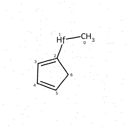 [CH3][Hf][C]1=CC=CC1